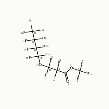 O=C(OC(F)(F)F)C(F)(F)C(F)(F)OC(F)(F)C(F)(F)C(F)(F)C(F)(F)F